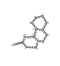 O=c1ccn2ccc3ccccc3c2n1